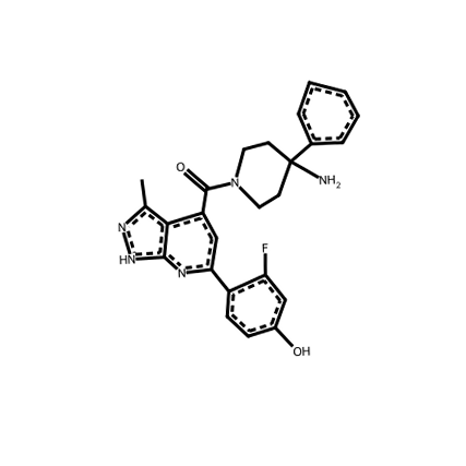 Cc1n[nH]c2nc(-c3ccc(O)cc3F)cc(C(=O)N3CCC(N)(c4ccccc4)CC3)c12